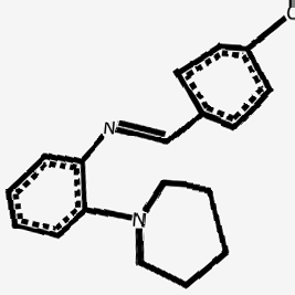 N#Cc1ccc(/C=N/c2ccccc2N2CCCCC2)cc1